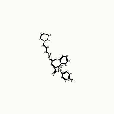 CC(/C=C1/C(=O)N(c2ccc(F)cc2)C1c1ccccc1)=N\OCCCN1CCOCC1